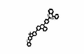 CC1(C)c2cc(C3=CCC4CC(c5ccc(C6=Nc7ccccc7C(c7ccccc7)N6)cc5)c5ccccc5C4=C3)ccc2-c2cc3c(cc21)oc1ccccc13